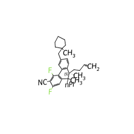 C=CCC[C@]1(C)c2ccc(CC3(C)CCCCC3)cc2-c2c(cc(F)c(C#N)c2F)C1(C)CCC